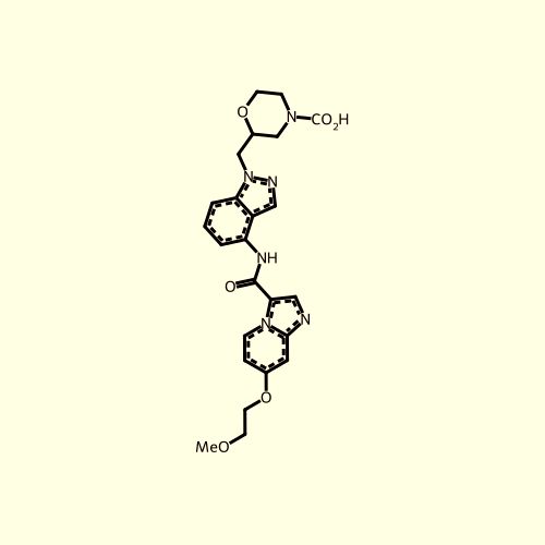 COCCOc1ccn2c(C(=O)Nc3cccc4c3cnn4CC3CN(C(=O)O)CCO3)cnc2c1